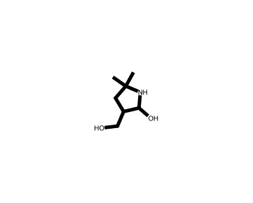 CC1(C)CC(CO)C(O)N1